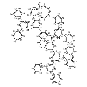 C=C1/C=C\C=C/CN(c2cc(-c3cc4c5c6c(cc(-c7cc(-c8cc(-c9ccccc9)cc(-c9ccccc9)n8)cc(-n8c9ccccc9c9ccccc98)c7)cc6n(-c6nc(-c7ccccc7)cc(-c7ccccc7)n6)c5c3)CC4)cc(-c3cc(-c4ccccc4)cc(-c4ccccc4)n3)c2)c2ccccc21